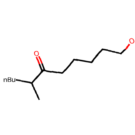 CCCCC(C)C(=O)CCCCC[O]